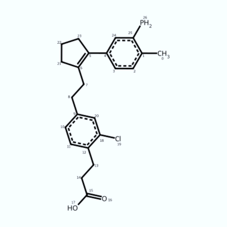 Cc1ccc(C2=C(CCc3ccc(CCC(=O)O)c(Cl)c3)CCC2)cc1P